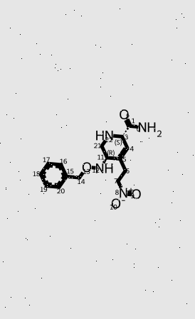 NC(=O)[C@@H]1C=C(CC[N+](=O)[O-])[C@@H](NOCc2ccccc2)CN1